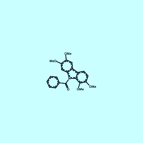 COc1cc2c3ccc(OC)c(OC)c3n(C(=O)c3ccccc3)c2cc1OC